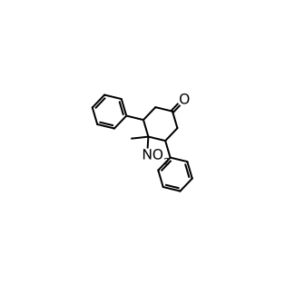 CC1([N+](=O)[O-])C(c2ccccc2)CC(=O)CC1c1ccccc1